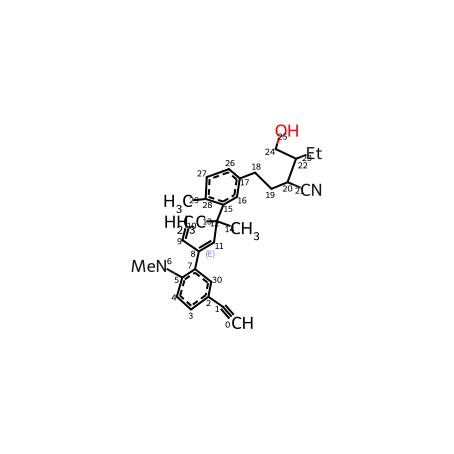 C#Cc1ccc(NC)c(/C(C=C)=C/C(C)(C)c2cc(CCC(C#N)C(CC)CO)ccc2C)c1